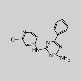 Nc1nc(Nc2ccnc(Cl)c2)nc(-c2ccccc2)n1